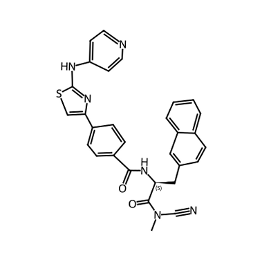 CN(C#N)C(=O)[C@H](Cc1ccc2ccccc2c1)NC(=O)c1ccc(-c2csc(Nc3ccncc3)n2)cc1